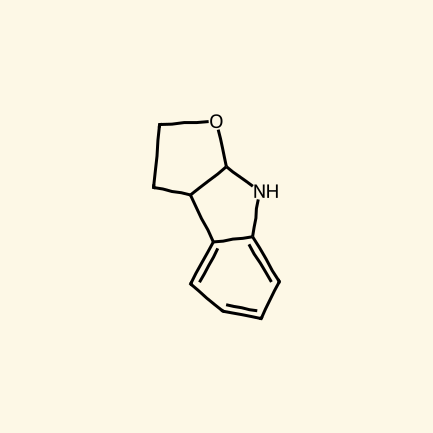 c1ccc2c(c1)NC1OCCC21